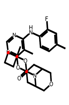 Cc1ccc(Nc2ncnc(OC3CC4COCC(C3)N4C(=O)OC3(C)CCC3)c2C)c(F)c1